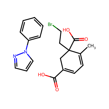 CC1=CC=C(C(=O)O)CC1(CCBr)C(=O)O.c1ccc(-n2cccn2)cc1